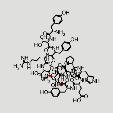 CC[C@H](C)[C@H](NC(=O)[C@@H](NC(=O)[C@@H](NC(=O)[C@H](CCCNC(=N)N)NC(=O)[C@H](Cc1ccc(O)cc1)NC(=O)[C@@H](NC(=O)[C@@H](N)Cc1ccc(O)cc1)[C@@H](C)O)[C@@H](C)O)[C@@H](C)O)C(=O)N1CCC[C@H]1C(=O)N[C@@H](Cc1c[nH]cn1)C(=O)N[C@@H](CCC(=O)O)C(=O)N[C@@H](Cc1ccc(O)cc1)C(=O)N[C@@H](CC(C)C)C(=O)N[C@@H](C)C(=O)O